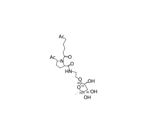 CC(=O)CCCCC(=O)N1C(C(C)=O)CCC1C(=O)NCCO[C@@H]1O[C@@H](C)[C@@H](O)[C@@H](O)[C@@H]1O